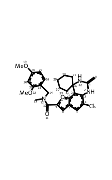 C=C1Nc2c(Cl)cc3cc(C(=O)N(C)Cc4ccc(OC)cc4OC)oc3c2C2(CCCCC2)N1